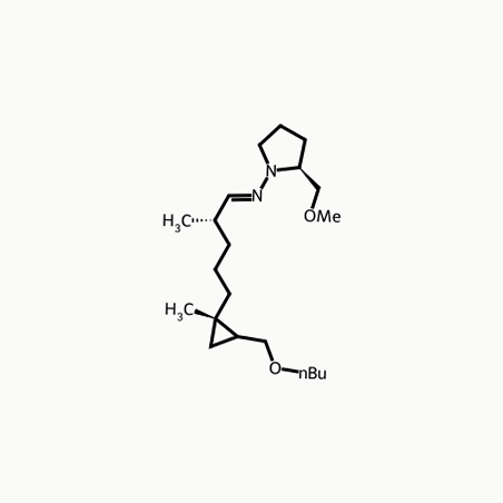 CCCCOCC1C[C@]1(C)CCC[C@H](C)/C=N/N1CCC[C@H]1COC